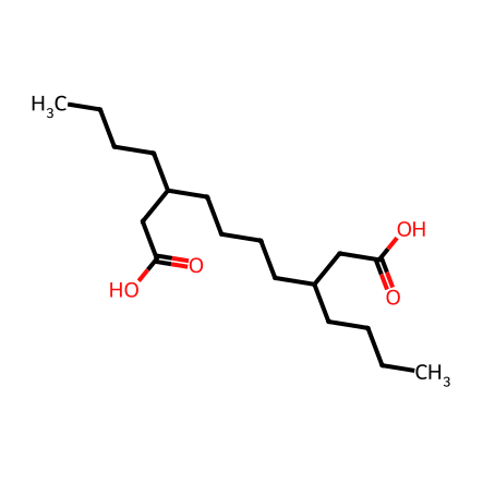 CCCCC(CCCCC(CCCC)CC(=O)O)CC(=O)O